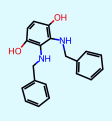 Oc1ccc(O)c(NCc2ccccc2)c1NCc1ccccc1